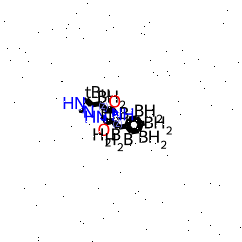 B/C(c1nc[nH]c1C(C)(C)C)=c1/[nH]c(=O)/c(=C(\B)c2c(B)c(B)c(B)c(B)c2B)[nH]c1=O